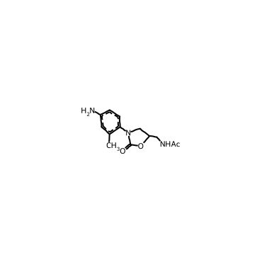 CC(=O)NCC1CN(c2ccc(N)cc2C)C(=O)O1